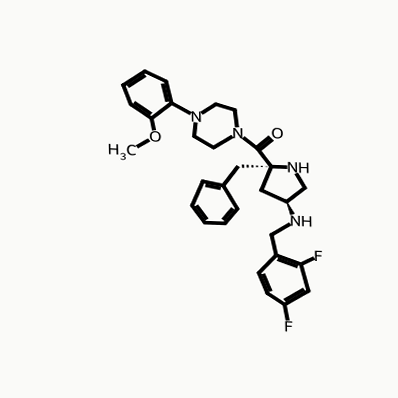 COc1ccccc1N1CCN(C(=O)[C@]2(Cc3ccccc3)C[C@H](NCc3ccc(F)cc3F)CN2)CC1